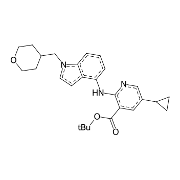 CC(C)(C)OC(=O)c1cc(C2CC2)cnc1Nc1cccc2c1ccn2CC1CCOCC1